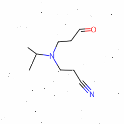 CC(C)N(CCC#N)CCC=O